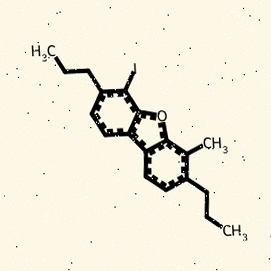 CCCc1ccc2c(oc3c(I)c(CCC)ccc32)c1C